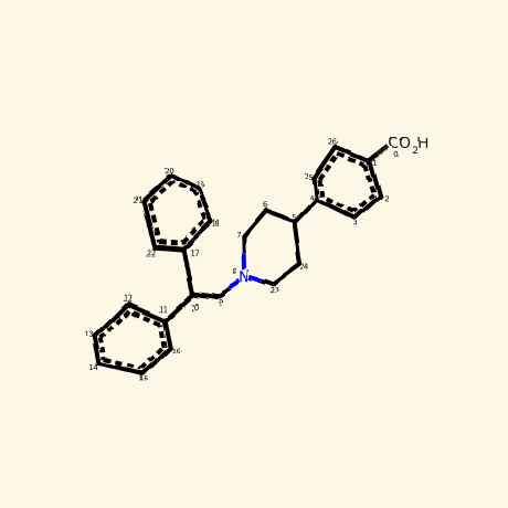 O=C(O)c1ccc(C2CCN(CC(c3ccccc3)c3ccccc3)CC2)cc1